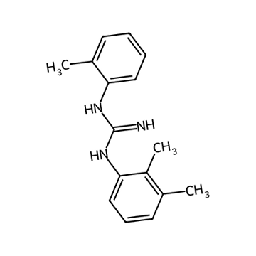 Cc1ccccc1NC(=N)Nc1cccc(C)c1C